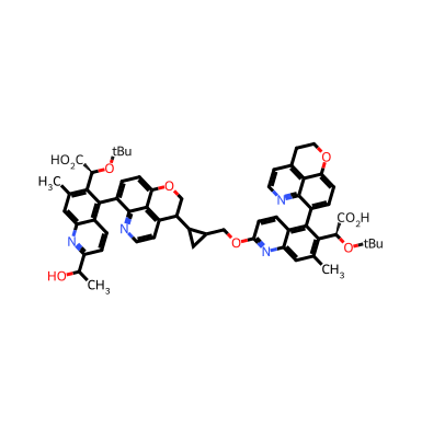 Cc1cc2nc(OCC3CC3C3COc4ccc(-c5c([C@H](OC(C)(C)C)C(=O)O)c(C)cc6nc(C(C)O)ccc56)c5nccc3c45)ccc2c(-c2ccc3c4c(ccnc24)CCO3)c1[C@H](OC(C)(C)C)C(=O)O